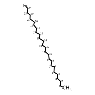 CCCCCCCCCCCCCCCCCCCCCCCC[CH]F